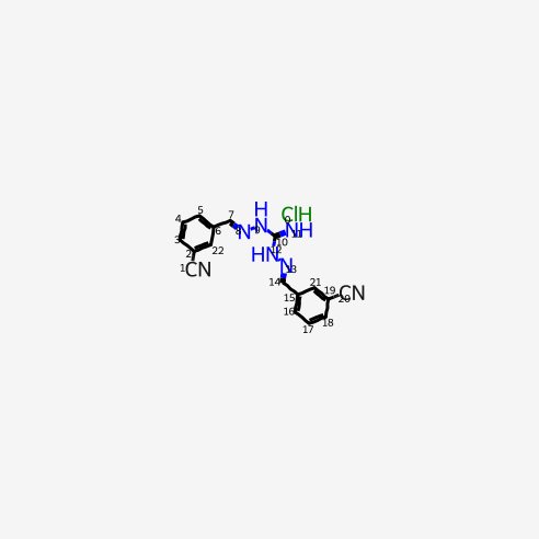 Cl.N#Cc1cccc(C=NNC(=N)NN=Cc2cccc(C#N)c2)c1